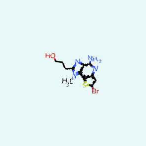 Cn1c(CCCO)nc2c(N)nc3cc(Br)sc3c21